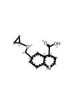 O=C(O)c1ccnc2ccc(COC3CC3)cc12